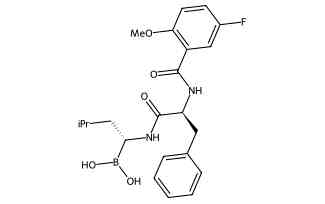 COc1ccc(F)cc1C(=O)N[C@@H](Cc1ccccc1)C(=O)N[C@@H](CC(C)C)B(O)O